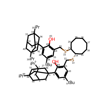 CC(C)C12CC3CC(c4cc(C(C)(C)C)cc(CS[C@H]5CCCCCC[C@@H]5SCc5cc(C(C)(C)C)cc(C67CC8CC(C(C)C)(C6)CC(C(C)C)(C8)C7)c5O)c4O)(C1)CC(C(C)C)(C3)C2